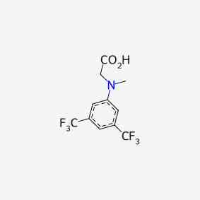 CN(CC(=O)O)c1cc(C(F)(F)F)cc(C(F)(F)F)c1